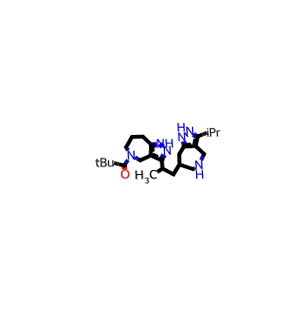 CC(C)c1n[nH]c2c1CNCC(CC(C)c1n[nH]c3c1CN(C(=O)C(C)(C)C)CCC3)C2